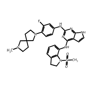 CN1CCC2(CCN(c3ccc(Nc4nc(Nc5cccc6c5N(S(C)(=O)=O)CC6)c5cc[nH]c5n4)cc3F)C2)C1